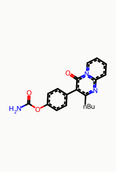 CCCCc1nc2ccccn2c(=O)c1-c1ccc(OC(N)=O)cc1